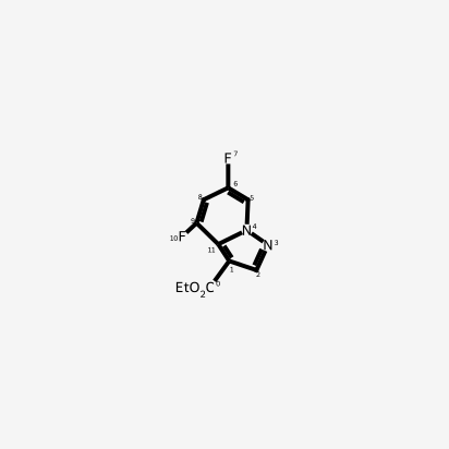 CCOC(=O)c1cnn2cc(F)cc(F)c12